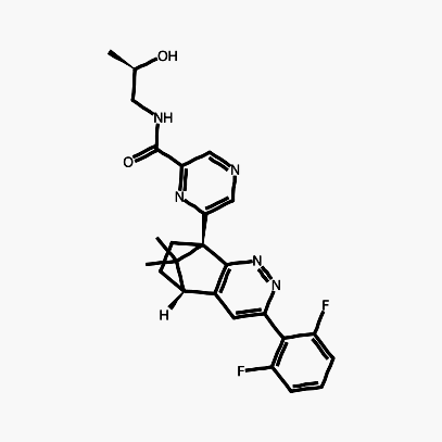 C[C@@H](O)CNC(=O)c1cncc([C@@]23CC[C@@H](c4cc(-c5c(F)cccc5F)nnc42)C3(C)C)n1